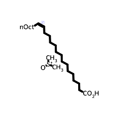 CCCCCCCC/C=C\CCCCCCCCCCCCCC(=O)O.C[S+](C)[O-]